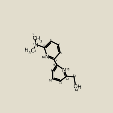 CN(C)c1cccc(-c2cccc(CO)n2)n1